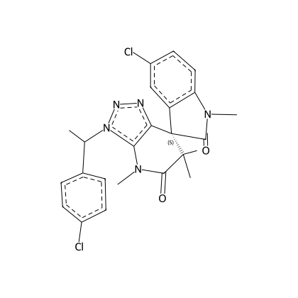 CC(c1ccc(Cl)cc1)n1nnc2c1N(C)C(=O)C(C)(C)[C@]21C(=O)N(C)c2ccc(Cl)cc21